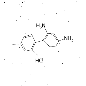 Cc1ccc(-c2ccc(N)cc2N)c(C)c1.Cl